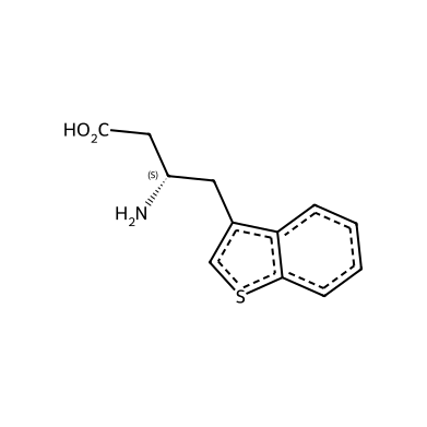 N[C@H](CC(=O)O)Cc1csc2ccccc12